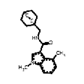 Cc1cccc2c1c(C(=O)NCC13CCC(CC1)CC3)cn2C